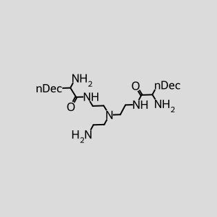 CCCCCCCCCCC(N)C(=O)NCCN(CCN)CCNC(=O)C(N)CCCCCCCCCC